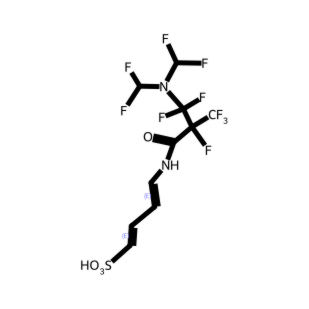 O=C(N/C=C/C=C/S(=O)(=O)O)C(F)(C(F)(F)F)C(F)(F)N(C(F)F)C(F)F